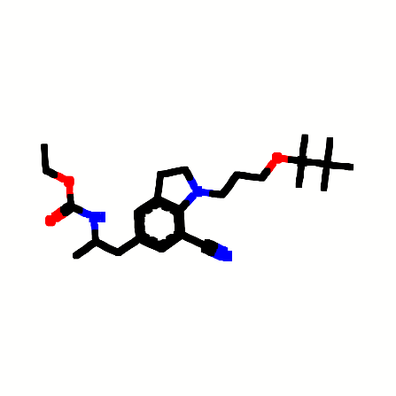 CCOC(=O)NC(C)Cc1cc(C#N)c2c(c1)CCN2CCCO[Si](C)(C)C(C)(C)C